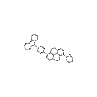 c1ccc(-c2ccc3ccc4c(-c5ccc(-n6c7ccccc7c7ccccc76)cc5)ccc5ccc2c3c54)nc1